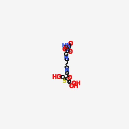 O=C1CCC(N2C(=O)c3ccc(N4CCC(CCC5CCN(c6ccc(C(=O)c7c(-c8ccc(B(O)O)cc8)sc8cc(O)ccc78)cc6)CC5)CC4)cc3C2=O)C(=O)N1